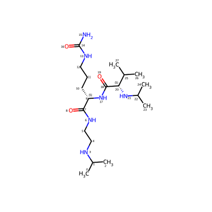 CC(C)NCCNC(=O)[C@H](CCCNC(N)=O)NC(=O)[C@@H](NC(C)C)C(C)C